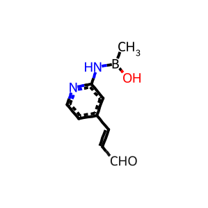 CB(O)Nc1cc(/C=C/C=O)ccn1